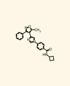 Cc1onc(-c2ccccc2)c1-c1cn(-c2ccc(C(=O)NC3CCC3)cc2)cn1